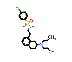 CCCN(CCC)C1CCc2cccc(CCNS(=O)(=O)c3ccc(Cl)cc3)c2C1